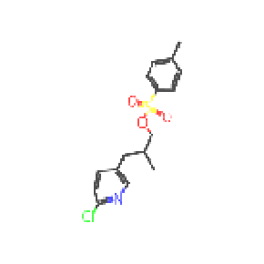 Cc1ccc(S(=O)(=O)OCC(C)Cc2ccc(Cl)nc2)cc1